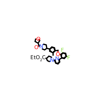 CCOC(=O)C1CCN(c2cccc(-c3cc(F)cc(F)c3OCc3ccc(C4CCN(C(=O)C5CCOC5)CC4)cc3C)n2)CC1